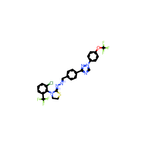 FC(F)(F)Oc1ccc(-n2cnc(-c3ccc(/C=N/N=C4\SCCN4c4c(Cl)cccc4C(F)(F)F)cc3)n2)cc1